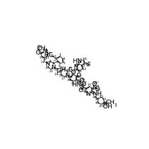 C#Cc1ccccc1[C@@H]1CN(Cc2ccnc(OC)c2)CCN1C1CC2(CCN(c3ccc(C(=O)NS(=O)(=O)c4cnc(NCC5CCC(C)(O)CC5)c([N+](=O)[O-])c4)c(Oc4cc5c(F)c[nH]c5nc4OC)c3)CC2)C1